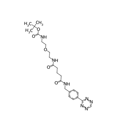 CC(C)(C)OC(=O)NCCOCCNC(=O)CCCC(=O)NCc1ccc(-c2nncnn2)cc1